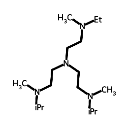 CCN(C)CCN(CCN(C)C(C)C)CCN(C)C(C)C